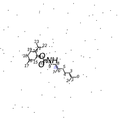 CC(C)=CCC/C(C)=C/CNC(=O)OC1CC(C)CCC1C(C)C